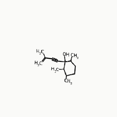 C=C(C)C#CC1(O)C(C)CCC(C)C1C